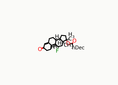 CCCCCCCCCCC(=O)O[C@@]1(C)CC[C@H]2[C@@H]3CCC4=CC(=O)CC[C@@H]4[C@H]3[C@@H](F)C[C@@]21C